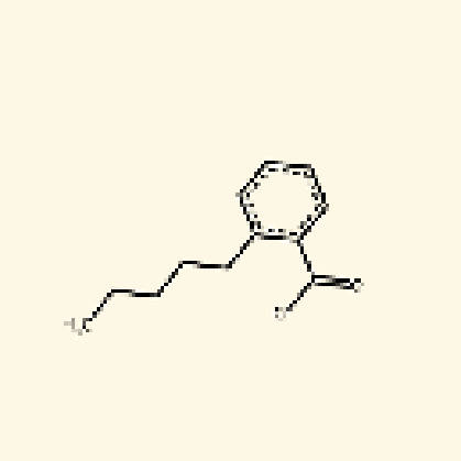 CCCCCc1ccccc1C(=O)Cl